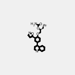 CC(C)C[C@@H](COc1ccc(-c2ccnc3ccccc23)cc1-c1ccno1)OC(N)=O